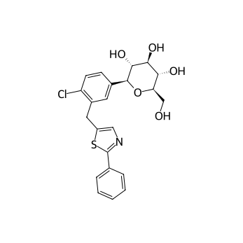 OC[C@H]1O[C@@H](c2ccc(Cl)c(Cc3cnc(-c4ccccc4)s3)c2)[C@H](O)[C@@H](O)[C@@H]1O